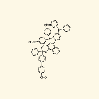 CCCCCCc1ccc(C2(c3ccc(CCCCCC)cc3)c3cc(N(c4ccccc4)c4ccccc4)ccc3-c3c2c2c(c4ccccc34)OC(c3ccccc3)(c3ccc(-c4ccc(C=O)cc4)cc3)C=C2)cc1